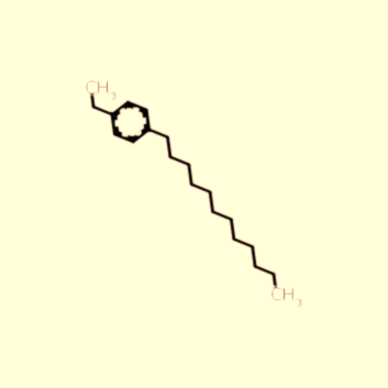 CCCCCCCCCCCCc1ccc(CC)cc1